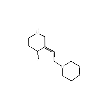 OC1CCNCC1=CCN1CCCCC1